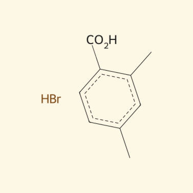 Br.Cc1ccc(C(=O)O)c(C)c1